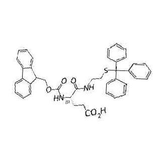 O=C(O)CC[C@H](NC(=O)OCC1c2ccccc2-c2ccccc21)C(=O)NCCSC(c1ccccc1)(c1ccccc1)c1ccccc1